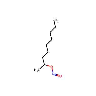 CCCCCCCC(C)ON=O